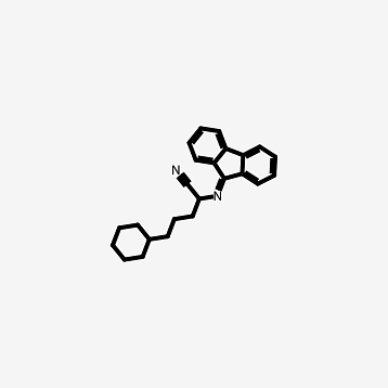 N#CC(CCCC1CCCCC1)N=C1c2ccccc2-c2ccccc21